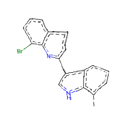 Cc1cccc2c(-c3ccc4cccc(Br)c4n3)c[nH]c12